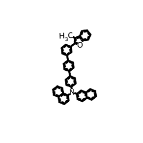 Cc1c(-c2cccc(-c3ccc(-c4ccc(N(c5ccc6ccccc6c5)c5cccc6ccccc56)cc4)cc3)c2)oc2ccccc12